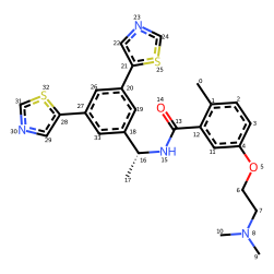 Cc1ccc(OCCN(C)C)cc1C(=O)N[C@H](C)c1cc(-c2cncs2)cc(-c2cncs2)c1